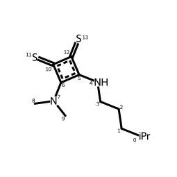 CC(C)CCCNc1c(N(C)C)c(=S)c1=S